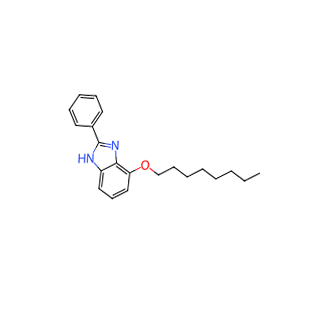 CCCCCCCCOc1cccc2[nH]c(-c3ccccc3)nc12